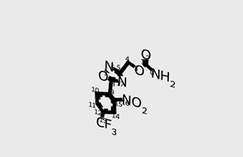 NC(=O)OCc1noc(-c2ccc(C(F)(F)F)cc2[N+](=O)[O-])n1